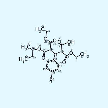 CCOC(=O)C(C(=O)O)C(c1ccc(Br)cc1)C(C(=O)OCC)C(=O)OC(C)CC